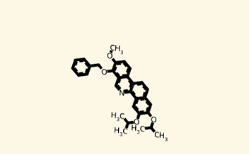 COc1ccc2c(cnc3c4cc(OC(C)C)c(OC(C)C)cc4ccc23)c1OCc1ccccc1